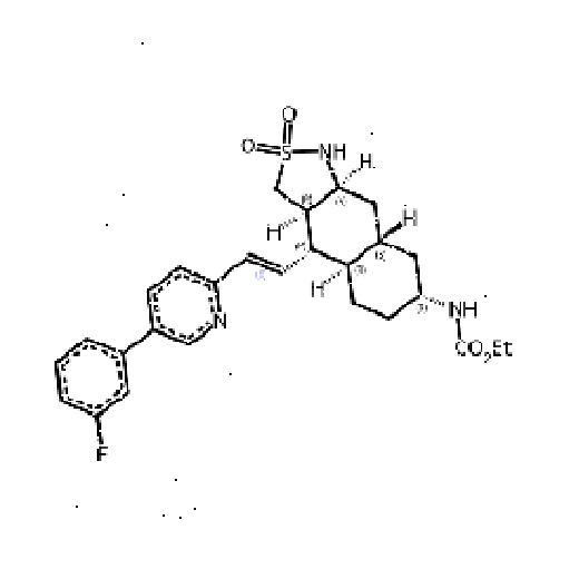 CCOC(=O)N[C@@H]1CC[C@@H]2[C@@H](C1)C[C@@H]1NS(=O)(=O)C[C@@H]1[C@H]2/C=C/c1ccc(-c2cccc(F)c2)cn1